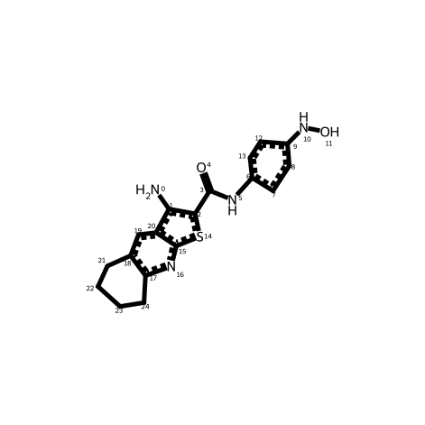 Nc1c(C(=O)Nc2ccc(NO)cc2)sc2nc3c(cc12)CCCC3